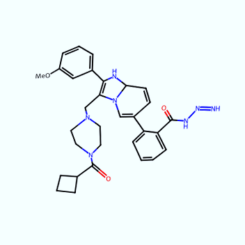 COc1cccc(C2=C(CN3CCN(C(=O)C4CCC4)CC3)N3C=C(c4ccccc4C(=O)NN=N)C=CC3N2)c1